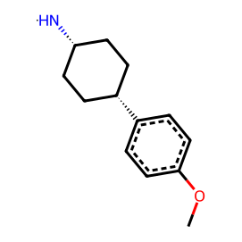 COc1ccc([C@H]2CC[C@@H]([NH])CC2)cc1